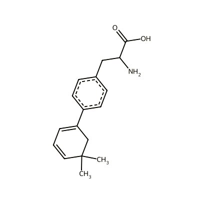 CC1(C)C=CC=C(c2ccc(CC(N)C(=O)O)cc2)C1